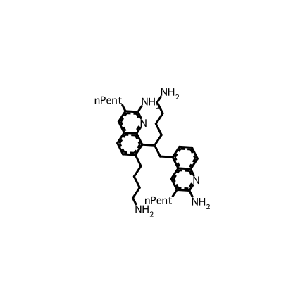 CCCCCc1cc2c(CC(CCCCN)c3c(CCCCN)ccc4cc(CCCCC)c(N)nc34)cccc2nc1N